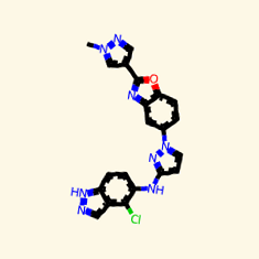 Cn1cc(-c2nc3cc(-n4ccc(Nc5ccc6[nH]ncc6c5Cl)n4)ccc3o2)cn1